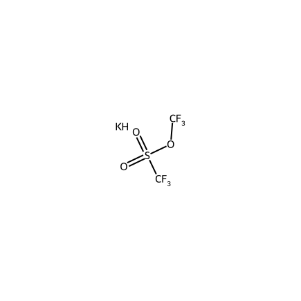 O=S(=O)(OC(F)(F)F)C(F)(F)F.[KH]